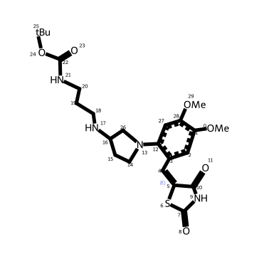 COc1cc(/C=C2/SC(=O)NC2=O)c(N2CCC(NCCCNC(=O)OC(C)(C)C)C2)cc1OC